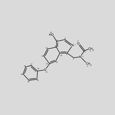 CC(=O)N(C)Cc1ncc(O)c2ccc(Oc3ccccc3)cc12